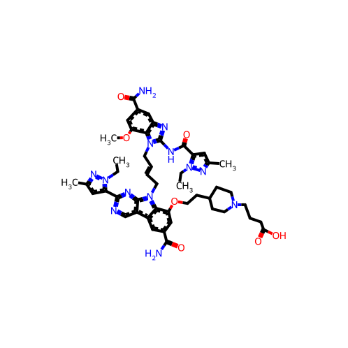 CCn1nc(C)cc1C(=O)Nc1nc2cc(C(N)=O)cc(OC)c2n1CC=CCn1c2nc(-c3cc(C)nn3CC)ncc2c2cc(C(N)=O)cc(OCCC3CCN(CCCC(=O)O)CC3)c21